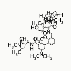 COc1c(CN2O[C@@H](CO)[C@H]([C@H](C)O)[C@H]2C(=O)N[C@H]2C[C@H]3C[C@@H]([C@@H]2C)C3(C)C)cccc1-c1cc(C(=O)NCC2CC(C)N(C)N2C)cc(N(C)C)c1